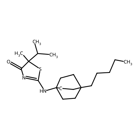 CCCCCC12CCC(NC3=NC(=O)C(C)(C(C)C)S3)(CC1)CC2